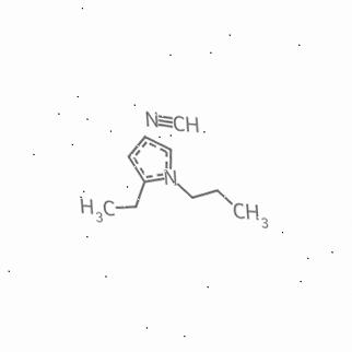 C#N.CCCn1cccc1CC